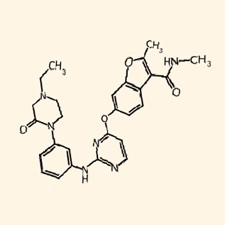 CCN1CCN(c2cccc(Nc3nccc(Oc4ccc5c(C(=O)NC)c(C)oc5c4)n3)c2)C(=O)C1